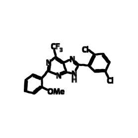 COc1ccccc1-c1nc(C(F)(F)F)c2nc(-c3cc(Cl)ccc3Cl)[nH]c2n1